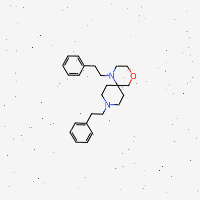 c1ccc(CCN2CCC3(CC2)COCCN3CCc2ccccc2)cc1